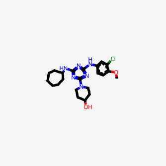 COc1ccc(Nc2nc(NC3CCCCCC3)nc(N3CCC(O)CC3)n2)cc1Cl